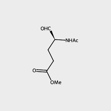 COC(=O)CC[C@@H](C=O)NC(C)=O